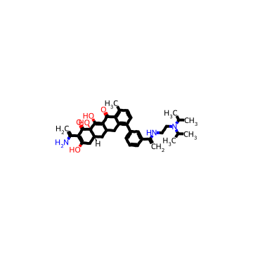 C=C(N)C1=C(O)C[C@@H]2CC3Cc4c(-c5cccc(C(=C)NCCN(C(C)C)C(C)C)c5)ccc(C)c4C(=O)C3=C(O)[C@]2(O)C1=O